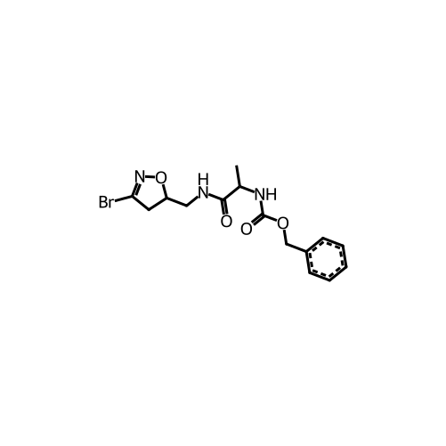 CC(NC(=O)OCc1ccccc1)C(=O)NCC1CC(Br)=NO1